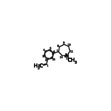 C=Cc1cccc(C2CCCCN(C)C2)c1